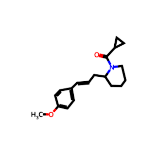 COc1ccc(/C=C/CC2CCCCN2C(=O)C2CC2)cc1